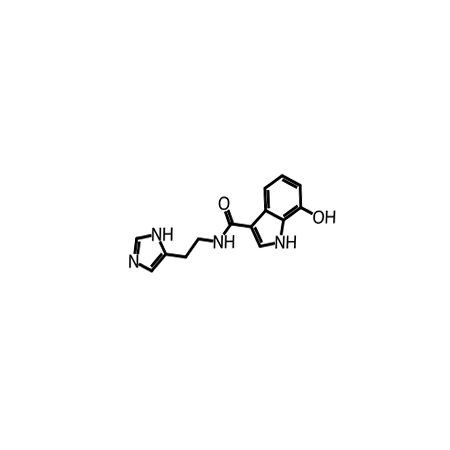 O=C(NCCc1cnc[nH]1)c1c[nH]c2c(O)cccc12